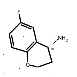 N[C@@H]1CCOc2ccc(F)cc21